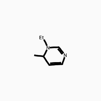 CCN1C=NC=CC1C